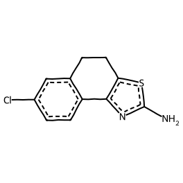 Nc1nc2c(s1)CCc1cc(Cl)ccc1-2